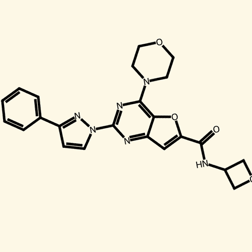 O=C(NC1COC1)c1cc2nc(-n3ccc(-c4ccccc4)n3)nc(N3CCOCC3)c2o1